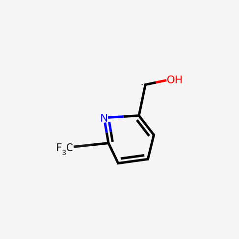 O[CH]c1cccc(C(F)(F)F)n1